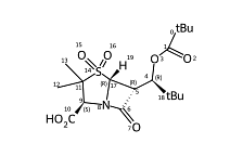 CC(C)(C)C(=O)O[C@H]([C@@H]1C(=O)N2[C@@H](C(=O)O)C(C)(C)S(=O)(=O)[C@H]12)C(C)(C)C